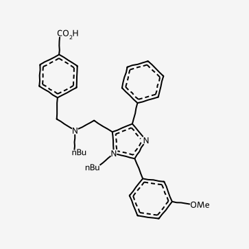 CCCCN(Cc1ccc(C(=O)O)cc1)Cc1c(-c2ccccc2)nc(-c2cccc(OC)c2)n1CCCC